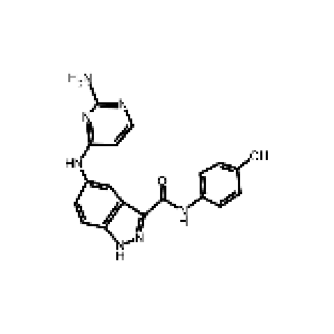 Nc1nccc(Nc2ccc3[nH]nc(C(=O)Nc4ccc(O)cc4)c3c2)n1